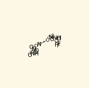 O=C1CCC(N2C(=O)c3ccc(N4CC(C#Cc5ccc6c(c5)CCN(C5(C(=O)Nc7ccc(C(F)(F)F)cc7Cl)CCC5)C6)C4)cc3C2=O)C(=O)N1